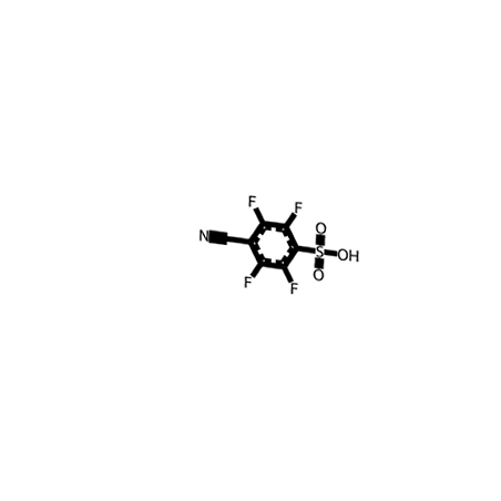 N#Cc1c(F)c(F)c(S(=O)(=O)O)c(F)c1F